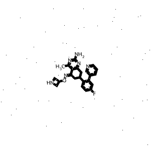 Cc1nc(N)nc2c1/C(=N/OC1CNC1)CC(c1ccc(F)cc1-c1cccnc1)C2